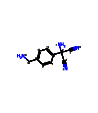 N#CC(N)(C#N)c1ccc(CN)cc1